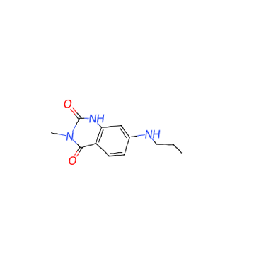 CCCNc1ccc2c(=O)n(C)c(=O)[nH]c2c1